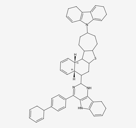 C1=CCC(c2ccc(C3=NC(C4CC5SC6CCC(n7c8c(c9c7=CCCC=9)CCC=C8)CCC6C5[C@H]5C=CC=C[C@@H]45)Nc4c3[nH]c3c4CCC=C3)cc2)C=C1